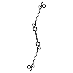 C=CC(=O)OCCCCCCCCCOc1ccc(C#CC#Cc2ccc(OCCCCCCCCCOC(=O)C=C)cc2)cc1